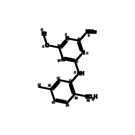 CCOc1nc(NC)nc(Nc2cc(C)ccc2S(=O)(=O)O)n1